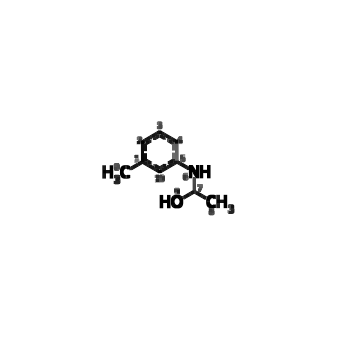 Cc1cccc(NC(C)O)c1